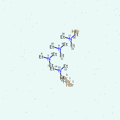 Br.Br.Br.Br.CCN(CC)CC.CCN(CC)CC.CCN(CC)CC.CCN(CC)CC